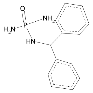 NP(N)(=O)NC(c1ccccc1)c1ccccc1